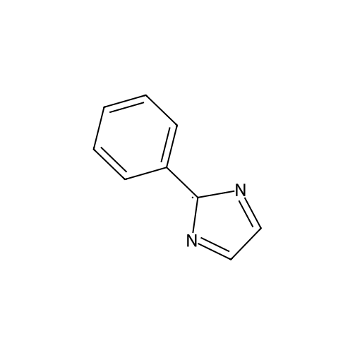 C1=N[C](c2ccccc2)N=C1